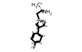 C[C@H](N)Cn1cc(-c2ccc(F)cc2)cn1